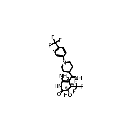 N=C(C1=C(N)NC(=O)[C@H](O)[C@@H]1C(F)(F)F)C1CCN(c2ccc(C(F)(F)F)nc2)CC1